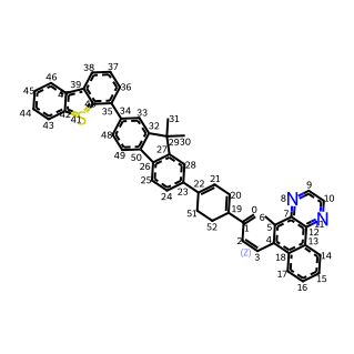 C=C(/C=C\c1c(C)c2nccnc2c2ccccc12)C1=CC=C(c2ccc3c(c2)C(C)(C)c2cc(-c4cccc5c4sc4ccccc45)ccc2-3)CC1